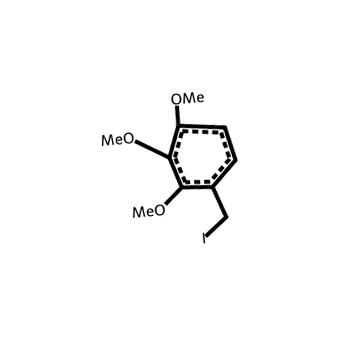 COc1ccc(CI)c(OC)c1OC